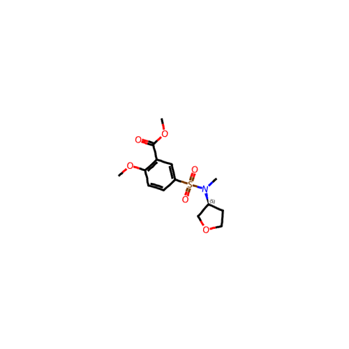 COC(=O)c1cc(S(=O)(=O)N(C)[C@H]2CCOC2)ccc1OC